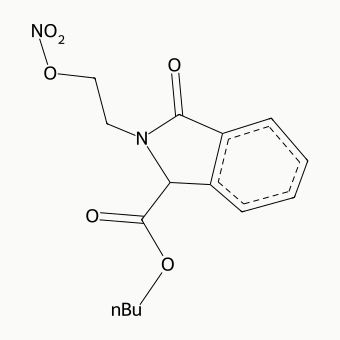 CCCCOC(=O)C1c2ccccc2C(=O)N1CCO[N+](=O)[O-]